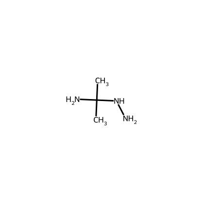 CC(C)(N)NN